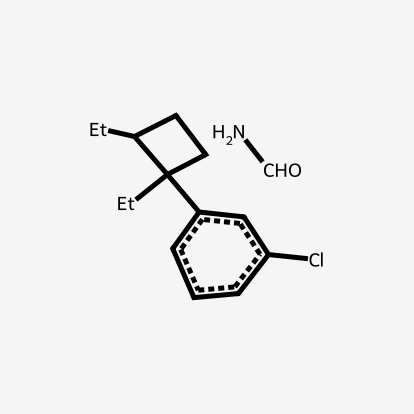 CCC1CCC1(CC)c1cccc(Cl)c1.NC=O